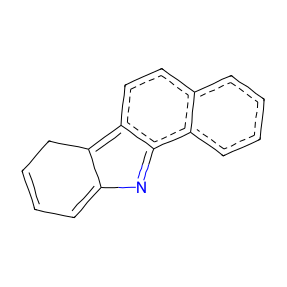 C1=CCC2=c3ccc4ccccc4c3=NC2=C1